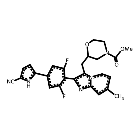 COC(=O)N1CCOC(Cc2c(-c3c(F)cc(-c4ccc(C#N)[nH]4)cc3F)nc3cc(C)ccn23)C1